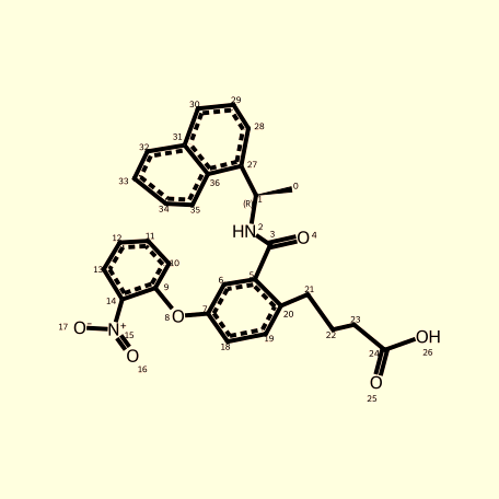 C[C@@H](NC(=O)c1cc(Oc2ccccc2[N+](=O)[O-])ccc1CCCC(=O)O)c1cccc2ccccc12